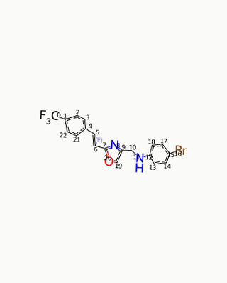 FC(F)(F)c1ccc(/C=C/c2nc(CNc3ccc(Br)cc3)co2)cc1